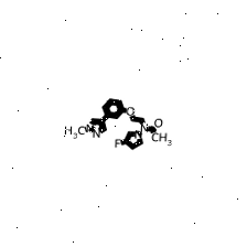 CC(=O)N(CCOc1c[c]cc(-c2cnn(C)c2)c1)N1CCC(F)C1